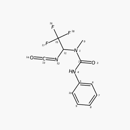 CN(C(=O)Nc1ccccc1)C(N=C=O)C(F)(F)F